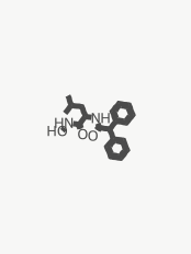 CC(C)CC(NC(=O)C(c1ccccc1)c1ccccc1)C(=O)NO